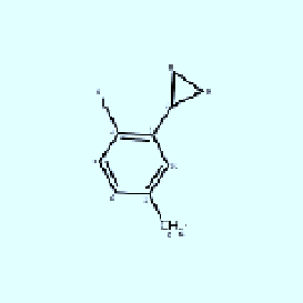 [CH2]c1ccc(I)c(C2CC2)c1